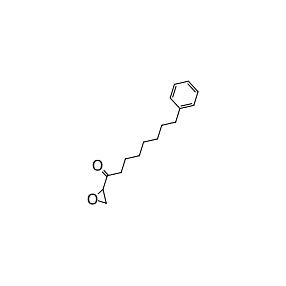 O=C(CCCCCCCc1ccccc1)C1CO1